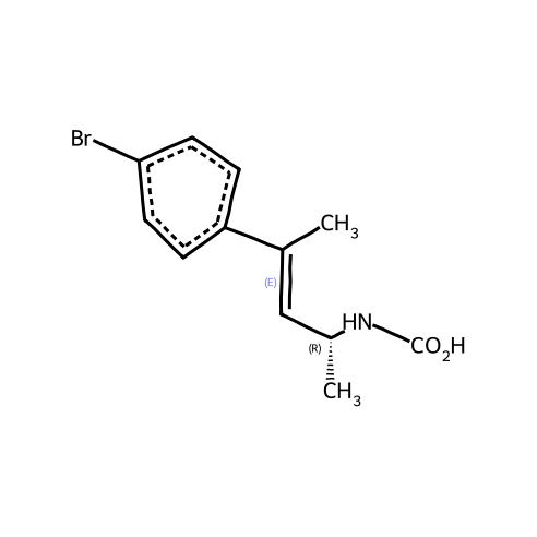 C/C(=C\[C@@H](C)NC(=O)O)c1ccc(Br)cc1